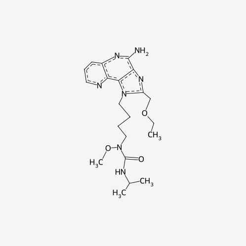 CCOCc1nc2c(N)nc3cccnc3c2n1CCCCN(OC)C(=O)NC(C)C